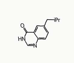 CC(C)Cc1ccc2nc[nH]c(=O)c2c1